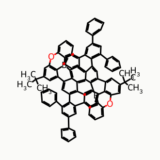 CC(C)(C)c1cc2c3c(c1)-c1cc(-c4c(-c5ccccc5)cc(-c5ccccc5)cc4-c4ccccc4)c4cc5c6c(cc(-c7c(-c8ccccc8)cc(-c8ccccc8)cc7-c7ccccc7)c7cc(c1c4c76)B3c1ccccc1O2)-c1cc(C(C)(C)C)cc2c1B5c1ccccc1O2